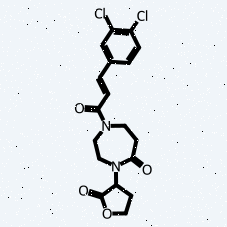 O=C1OCCC1N1CCN(C(=O)C=Cc2ccc(Cl)c(Cl)c2)CCC1=O